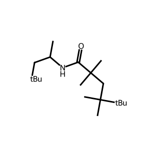 CC(CC(C)(C)C)NC(=O)C(C)(C)CC(C)(C)C(C)(C)C